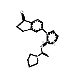 O=C1CCc2cc(-n3ccs/c3=N\C(=O)N3CCCC3)ccc21